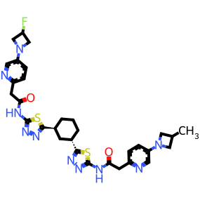 CC1CN(c2ccc(CC(=O)Nc3nnc([C@H]4CCC[C@H](c5nnc(NC(=O)Cc6ccc(N7CC(F)C7)cn6)s5)C4)s3)nc2)C1